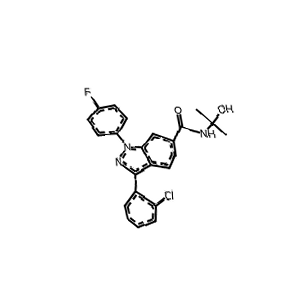 CC(C)(O)NC(=O)c1ccc2c(-c3ccccc3Cl)nn(-c3ccc(F)cc3)c2c1